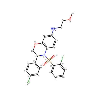 COCCNc1ccc2c(c1)OCC(c1ccc(Cl)cc1)N2S(=O)(=O)c1ccccc1F